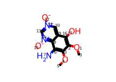 COc1c(OC)c(N)c2c(c[n+]([O-])c[n+]2[O-])c1O